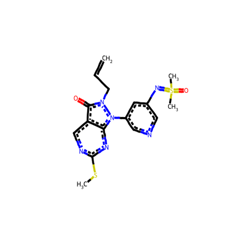 C=CCn1c(=O)c2cnc(SC)nc2n1-c1cncc(N=S(C)(C)=O)c1